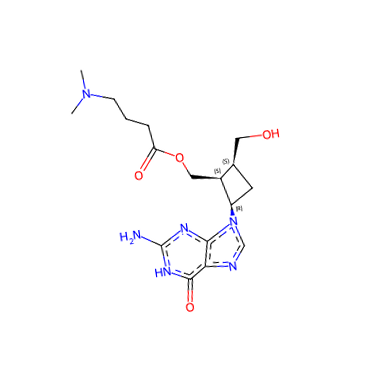 CN(C)CCCC(=O)OC[C@H]1[C@@H](CO)C[C@H]1n1cnc2c(=O)[nH]c(N)nc21